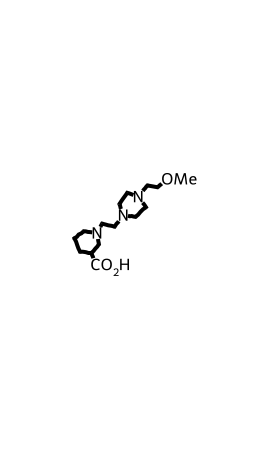 COCCN1CCN(CCN2CCCC(C(=O)O)C2)CC1